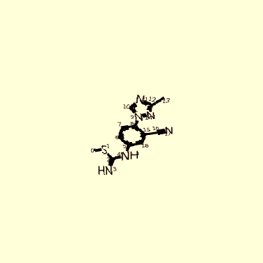 CSC(=N)Nc1ccc(-n2cnc(C)n2)c(C#N)c1